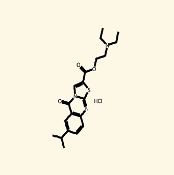 CCN(CC)CCOC(=O)c1cn2c(=O)c3cc(C(C)C)ccc3nc2s1.Cl